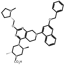 C[C@@H]1CN(c2nc(OC[C@@H]3CCCN3C)nc3c2CCN(c2cc(OCc4ccccc4)cc4ccccc24)C3)[C@@H](C)CN1C(=O)O